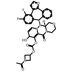 CC(=O)N1CC(OC(=O)OC2=C3C(=O)N4CCOC[C@H]4N([C@@H]4c5ccccc5-c5occc5-c5c4ccc(F)c5F)N3C=CC2O)C1